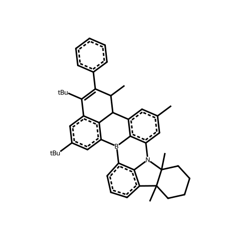 Cc1cc2c3c(c1)N1c4c(cccc4C4(C)CCCCC14C)B3c1cc(C(C)(C)C)cc3c1C2C(C)C(c1ccccc1)=C3C(C)(C)C